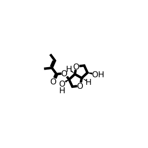 CC=C(C)C(=O)O[C@@]1(O)CO[C@@H]2[C@H](O)CO[C@@H]21